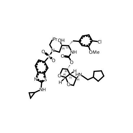 COc1cc(C[C@H](NC(=O)O[C@H]2CO[C@H]3OC[C@H](NCC4CCCC4)[C@H]32)[C@H](O)CN(CC(C)C)S(=O)(=O)c2ccc3nc(NC4CC4)sc3c2)ccc1Cl